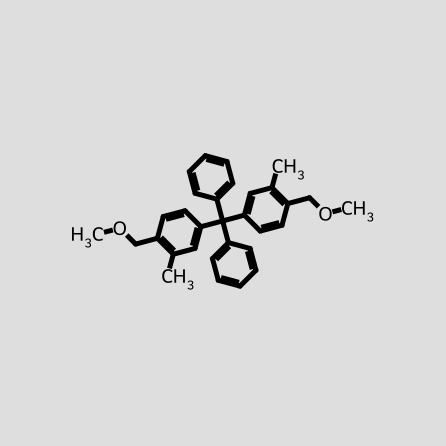 COCc1ccc(C(c2ccccc2)(c2ccccc2)c2ccc(COC)c(C)c2)cc1C